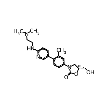 Cc1cc(N2C[C@H](CO)OC2=O)ccc1-c1ccc(NCCN(C)C)nc1